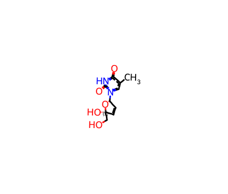 Cc1cn(C2C=C[C@@](O)(CO)O2)c(=O)[nH]c1=O